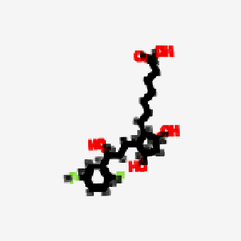 O=C(O)CCCCCC[C@@H]1C(CCC(O)c2cc(F)ccc2F)[C@H](O)C[C@@H]1O